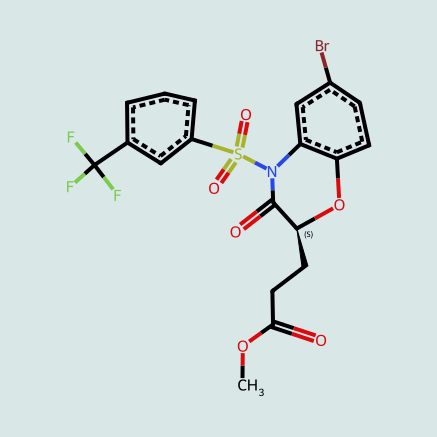 COC(=O)CC[C@@H]1Oc2ccc(Br)cc2N(S(=O)(=O)c2cccc(C(F)(F)F)c2)C1=O